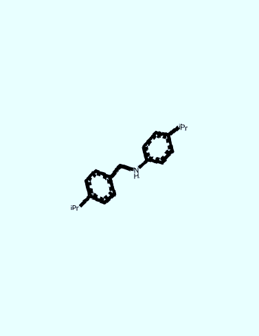 CC(C)c1ccc(CNc2ccc(C(C)C)cc2)cc1